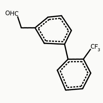 O=CCc1cccc(-c2ccccc2C(F)(F)F)c1